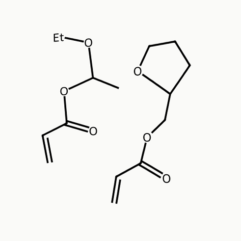 C=CC(=O)OC(C)OCC.C=CC(=O)OCC1CCCO1